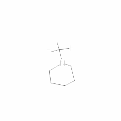 FC(F)(F)N1[CH]CCCC1